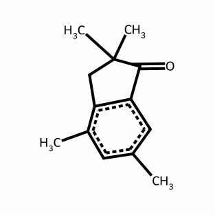 Cc1cc(C)c2c(c1)C(=O)C(C)(C)C2